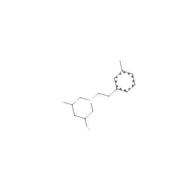 Cc1cccc(CCN2CC(N)CC(N)C2)c1